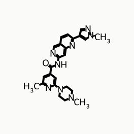 Cc1cc(C(=O)Nc2cc3nc(-c4cnn(C)c4)ccc3cn2)cc(N2CCN(C)CC2)n1